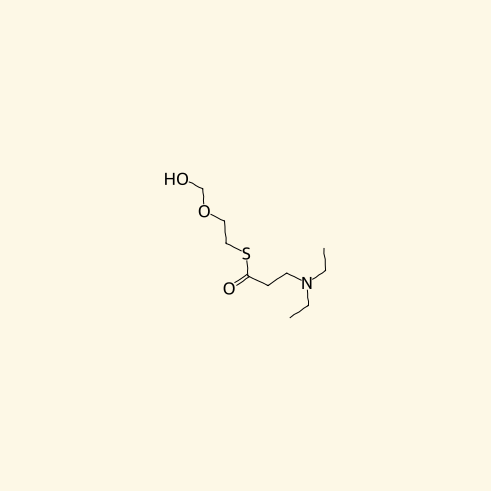 CCN(CC)CCC(=O)SCCOCO